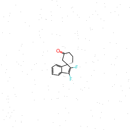 O=C1CCC[C@]2(C1)C(F)=C(F)c1ccccc12